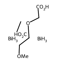 CC(=O)O.COCCOCC(=O)O.[BiH3].[BiH3]